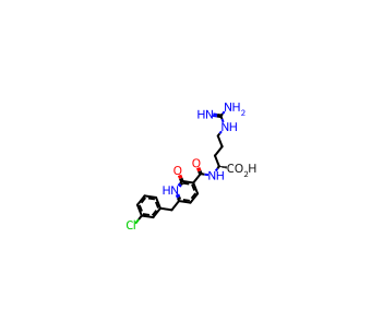 N=C(N)NCCC[C@H](NC(=O)c1ccc(Cc2cccc(Cl)c2)[nH]c1=O)C(=O)O